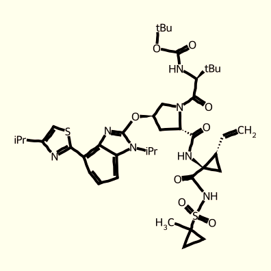 C=C[C@@H]1C[C@]1(NC(=O)[C@@H]1C[C@@H](Oc2nc3c(-c4nc(C(C)C)cs4)cccc3n2C(C)C)CN1C(=O)[C@@H](NC(=O)OC(C)(C)C)C(C)(C)C)C(=O)NS(=O)(=O)C1(C)CC1